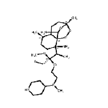 CO[C@](CF)(OCCN(C)C1CCNCC1)C(C)[C@]1(N)CC[C@@H](C)C2CC[C@]3(C)OO[C@]21C(N)O3